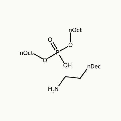 CCCCCCCCCCCCN.CCCCCCCCOP(=O)(O)OCCCCCCCC